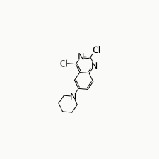 Clc1nc(Cl)c2cc(N3CCCCC3)ccc2n1